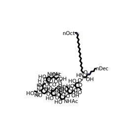 CCCCCCCC/C=C\CCCCCCCCCCCCCCCC(=O)N[C@@H](CO[C@@H]1OC(CO)[C@@H](O[C@@H]2OC(CO)[C@H](O)[C@H](O[C@@H]3OC(CO)[C@@H](O[C@@H]4OC(CO)[C@H](O)[C@H](O[C@]5(C(=O)O)CC(O)[C@@H](NC(=O)CO)C([C@H](O)[C@@H](CO)O[C@]6(C(=O)O)CC(O)[C@@H](NC(C)=O)C([C@H](O)[C@H](O)CO)O6)O5)C4O)[C@H](O)C3NC(C)=O)C2O)[C@H](O)C1O)[C@H](O)/C=C/CCCCCCCCCCCCC